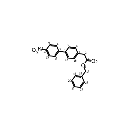 O=C(Cc1ccc(-c2ccc([N+](=O)[O-])cc2)cc1)OCc1ccccc1